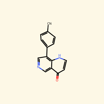 N#Cc1ccc(-c2cncc3c(=O)cc[nH]c23)cc1